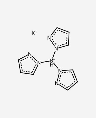 [K+].c1cnn([BH-](n2cccn2)n2cccn2)c1